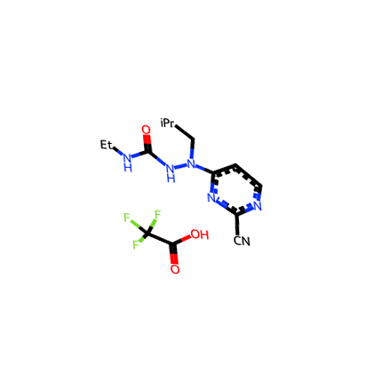 CCNC(=O)NN(CC(C)C)c1ccnc(C#N)n1.O=C(O)C(F)(F)F